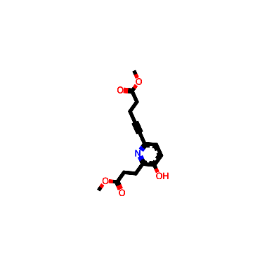 COC(=O)CCC#Cc1ccc(O)c(CCC(=O)OC)n1